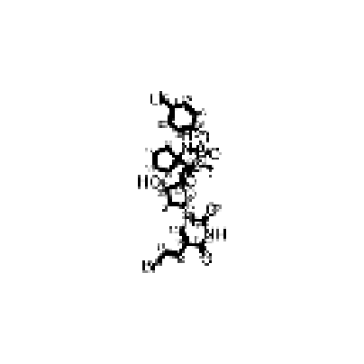 COC(=O)C1(NP(=O)(OCC2O[C@@H](n3cc(/C=C/Br)c(=O)[nH]c3=O)C[C@H]2O)Oc2ccc(Cl)cc2)CCCC1